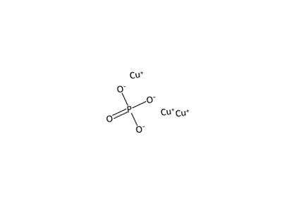 O=P([O-])([O-])[O-].[Cu+].[Cu+].[Cu+]